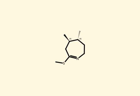 CSC1=NCC[C@@H](C)[C@H](C)C1